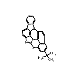 CC(C)(C)c1cc2ccc3c4c2c(c1)sc1nc2ccc5c(c2n14)B3c1ccccc1-5